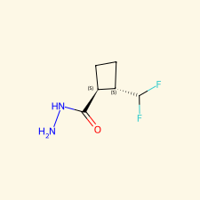 NNC(=O)[C@H]1CC[C@@H]1C(F)F